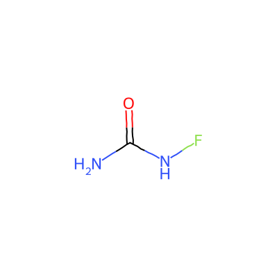 NC(=O)NF